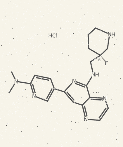 CN(C)c1ccc(-c2cc3nccnc3c(NC[C@@]3(F)CCCNC3)n2)cn1.Cl